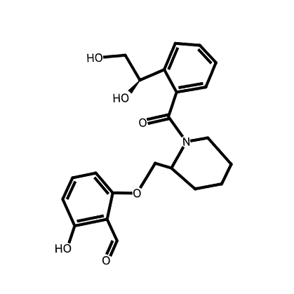 O=Cc1c(O)cccc1OCC1CCCCN1C(=O)c1ccccc1[C@@H](O)CO